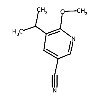 COc1ncc(C#N)cc1C(C)C